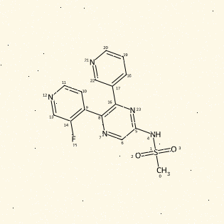 CS(=O)(=O)Nc1cnc(-c2ccncc2F)c(-c2cccnc2)n1